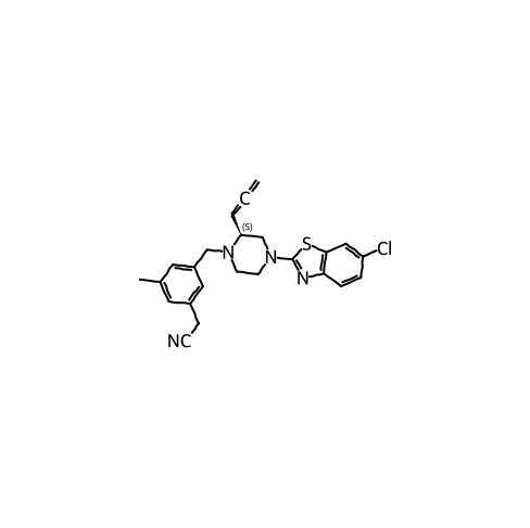 C=C=C[C@H]1CN(c2nc3ccc(Cl)cc3s2)CCN1Cc1cc(C)cc(CC#N)c1